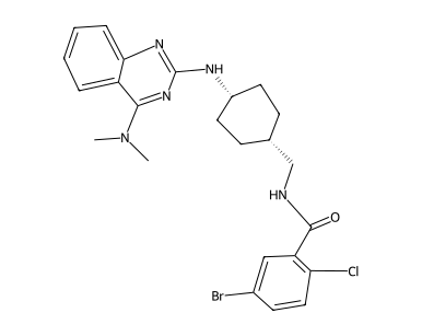 CN(C)c1nc(N[C@H]2CC[C@@H](CNC(=O)c3cc(Br)ccc3Cl)CC2)nc2ccccc12